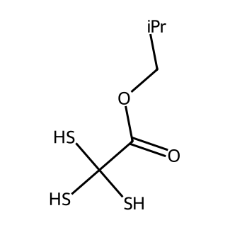 CC(C)COC(=O)C(S)(S)S